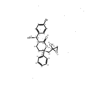 CCC[C@@H](c1ccc(Br)cc1)N1CC[C@@](CC2(C)CO2)(c2ccccc2)OC1=O